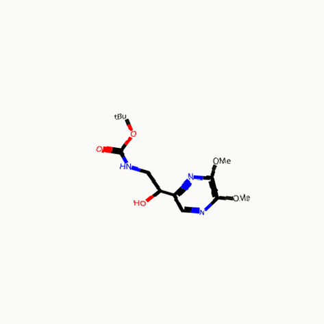 COc1ncc(C(O)CNC(=O)OC(C)(C)C)nc1OC